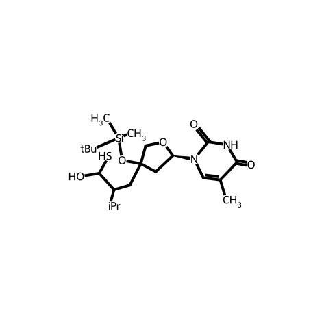 Cc1cn([C@H]2CC(CC(C(C)C)C(O)S)(O[Si](C)(C)C(C)(C)C)CO2)c(=O)[nH]c1=O